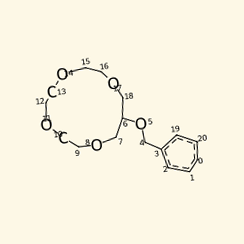 c1ccc(COC2COCCOCCOCCOC2)cc1